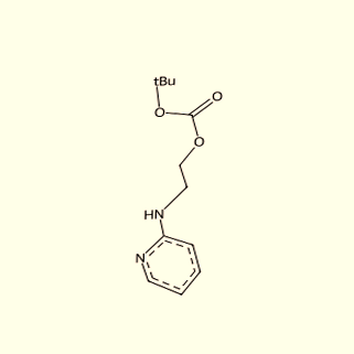 CC(C)(C)OC(=O)OCCNc1ccccn1